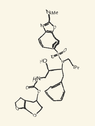 CNc1nc2ccc(S(=O)(=O)N(CC(C)C)C(Cc3ccccc3)C(O)CNC(=O)OC3COC4OCCC34)cc2o1